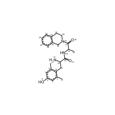 Cc1cc(O)cc(C)c1CC(N)C(=O)NC(C)C(=O)N1CCc2ccccc2C1